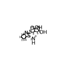 CNC.O=C(O)CC(CSc1nc2ccccc2s1)C(=O)O